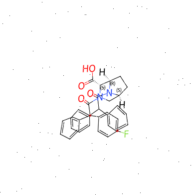 O=C(O)[C@@H]1[C@H]2CC[C@@H](CN1C(=O)C(c1ccccc1)c1ccc(F)cc1)N2C(=O)C(c1ccccc1)c1ccccc1